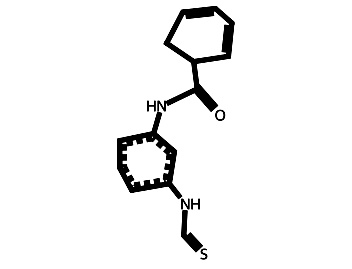 O=C(Nc1cccc(NC=S)c1)C1C=CC=CC1